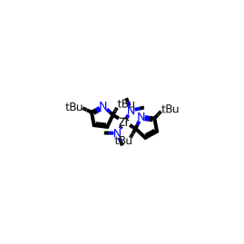 C[N](C)[Zr]([N](C)C)([C]1(C(C)(C)C)C=CC(C(C)(C)C)=N1)[C]1(C(C)(C)C)C=CC(C(C)(C)C)=N1